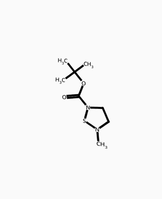 CN1CCN(C(=O)OC(C)(C)C)S1